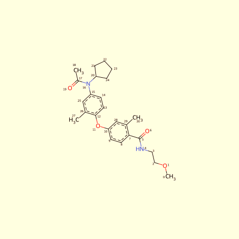 COCCNC(=O)c1ccc(Oc2ccc(N(C(C)=O)C3CCCC3)cc2C)cc1C